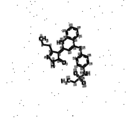 CCCC1=NNC(=O)C1=C1C=C(Sc2ccc(NS(=O)(=O)CC)cc2)c2ccccc2N1